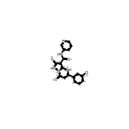 O=C(Nc1cccnc1)c1c(=O)[nH]n2c(=O)cc(-c3cccc(Cl)c3)[nH]c12